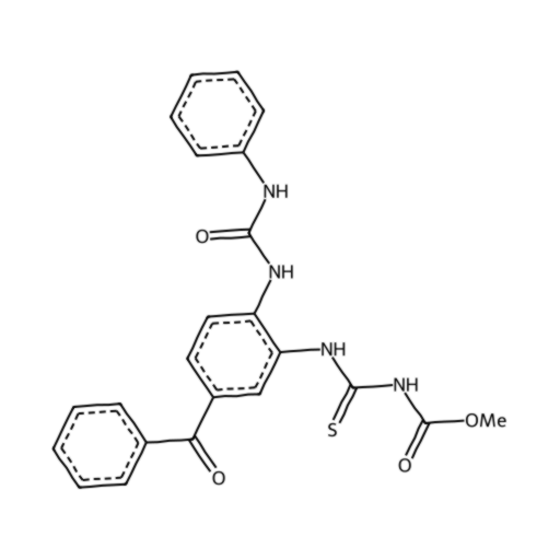 COC(=O)NC(=S)Nc1cc(C(=O)c2ccccc2)ccc1NC(=O)Nc1ccccc1